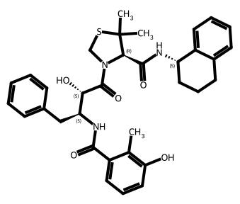 Cc1c(O)cccc1C(=O)N[C@@H](Cc1ccccc1)[C@H](O)C(=O)N1CSC(C)(C)[C@H]1C(=O)N[C@H]1CCCc2ccccc21